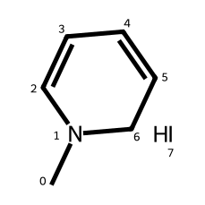 CN1C=CC=CC1.I